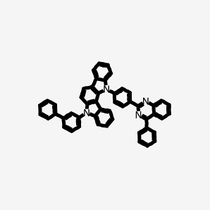 c1ccc(-c2cccc(-n3c4ccccc4c4c3ccc3c5ccccc5n(-c5ccc(-c6nc(-c7ccccc7)c7ccccc7n6)cc5)c34)c2)cc1